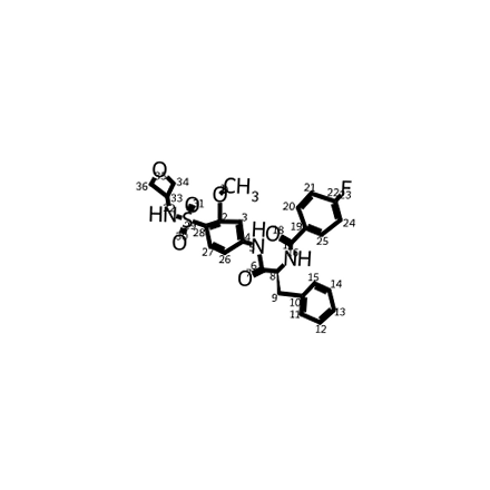 COc1cc(NC(=O)[C@H](Cc2ccccc2)NC(=O)c2ccc(F)cc2)ccc1S(=O)(=O)NC1COC1